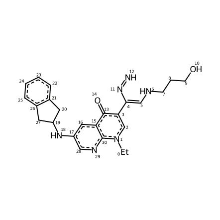 CCn1cc(/C(=C/NCCCO)N=N)c(=O)c2cc(NC3Cc4ccccc4C3)cnc21